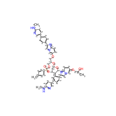 CNc1ccc(-c2ccc(-c3cn4cc(OCC(COS(=O)(=O)c5ccc(C)cc5)OC5CCC(c6cc(-c7ccc(NC)nc7)ccc6-c6cn7cc(OC[C@@H](C)O)ccc7n6)CO5)ccc4n3)cc2)cn1